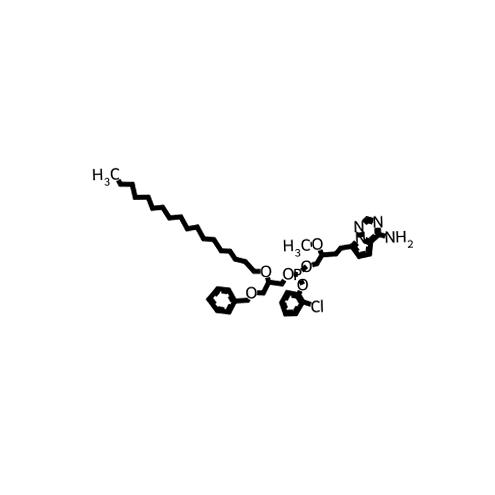 CCCCCCCCCCCCCCCCCCOC(COCc1ccccc1)COP(OCC(CCc1ccc2c(N)ncnn12)OC)Oc1ccccc1Cl